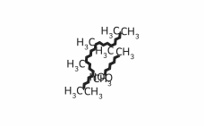 CC(C)CCCC(C)CCCC(C)CCCCC(C)CCCC(C)CCCC(C)C.CCCCCCCC(=O)O